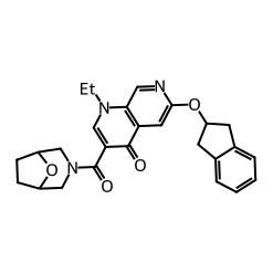 CCn1cc(C(=O)N2CC3CCC(C2)O3)c(=O)c2cc(OC3Cc4ccccc4C3)ncc21